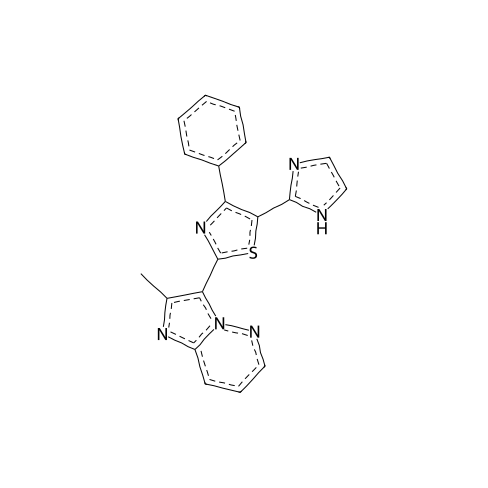 Cc1nc2cccnn2c1-c1nc(-c2ccccc2)c(-c2ncc[nH]2)s1